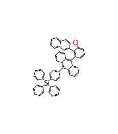 c1ccc([Si](c2ccccc2)(c2ccccc2)c2ccc(-c3c4ccccc4c(-c4cccc5oc6cc7ccccc7cc6c45)c4ccccc34)cc2)cc1